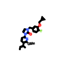 C/C=C(\C)c1ccc(-n2ccn(Cc3ccc(F)c(OCC4CC4)c3)c2=O)nc1OC